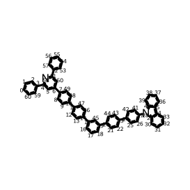 c1ccc(-c2cc(-c3ccc(-c4ccc(-c5cccc(-c6ccc(-c7ccc(-n8c9ccccc9c9ccccc98)cc7)cc6)c5)cc4)cc3)cc(-c3ccccc3)n2)cc1